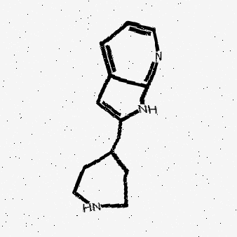 c1cnc2[nH]c(C3CCNCC3)cc2c1